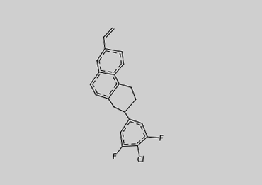 C=Cc1ccc2c3c(ccc2c1)CC(c1cc(F)c(Cl)c(F)c1)CC3